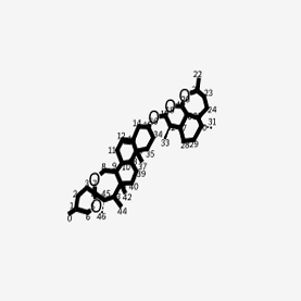 CC1CCC2(OC1)OCC1C3CC=C4CC(OC5OC6OC(C)CCC7C6C(CC[C@H]7C)[C@H]5C)CCC4(C)C3CCC1(C)C(C)[C@@H]2C